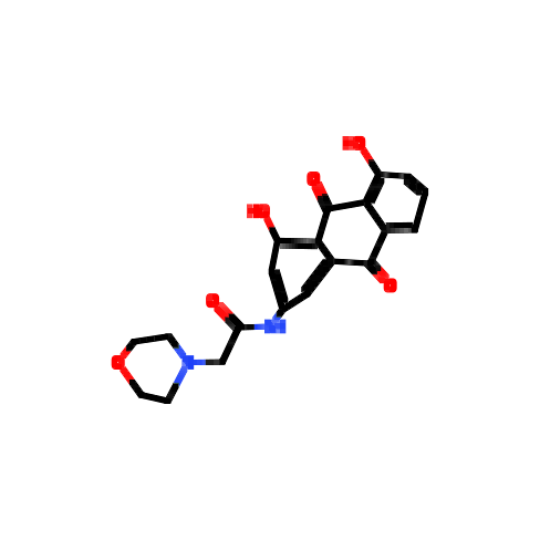 O=C(CN1CCOCC1)Nc1cc(O)c2c(c1)C(=O)c1cccc(O)c1C2=O